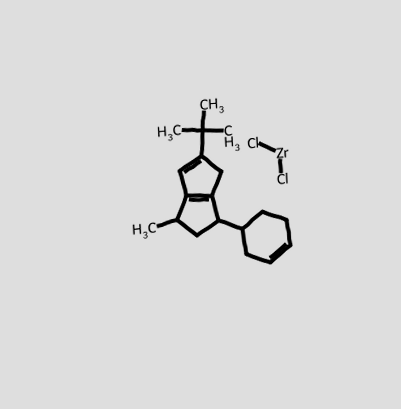 CC1CC(C2CC=CCC2)C2=C1C=C(C(C)(C)C)C2.[Cl][Zr][Cl]